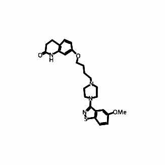 COc1ccc2snc(N3CCN(CCCCOc4ccc5c(c4)NC(=O)CC5)CC3)c2c1